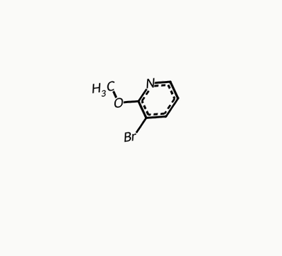 COc1ncccc1Br